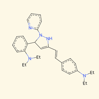 CCN(CC)c1ccc(C=CC2=CC(c3ccccc3N(CC)CC)N(c3ccccn3)N2)cc1